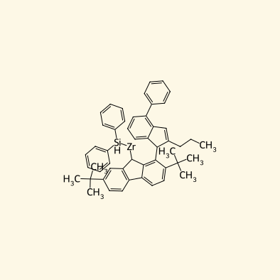 CCCC1=Cc2c(-c3ccccc3)cccc2C1c1c(C(C)(C)C)ccc2c1[CH]([Zr][SiH](c1ccccc1)c1ccccc1)c1cc(C(C)(C)C)ccc1-2